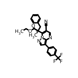 CCOC(=O)[C@](C)(Cc1ccccc1)c1c(C#N)cnc2c(-c3ccc(C(F)(F)F)cc3)cnn12